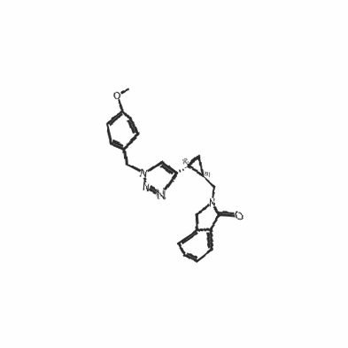 COc1ccc(Cn2cc([C@@H]3C[C@H]3CN3Cc4ccccc4C3=O)nn2)cc1